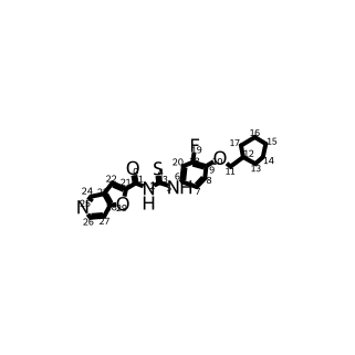 O=C(NC(=S)Nc1ccc(OCC2CCCCC2)c(F)c1)c1cc2cnccc2o1